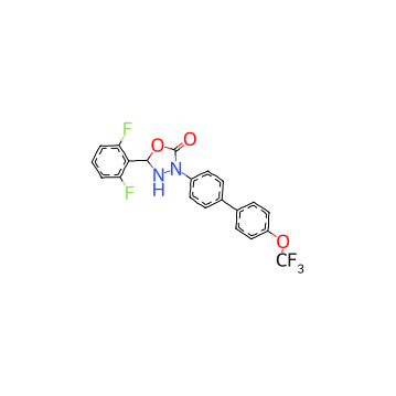 O=C1OC(c2c(F)cccc2F)NN1c1ccc(-c2ccc(OC(F)(F)F)cc2)cc1